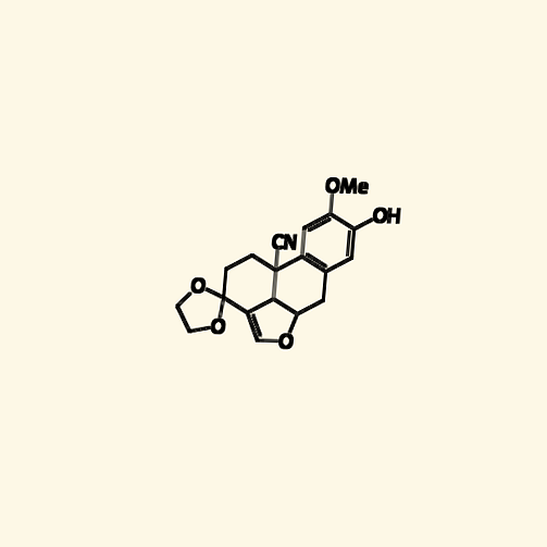 COc1cc2c(cc1O)CC1OC=C3C1C2(C#N)CCC31OCCO1